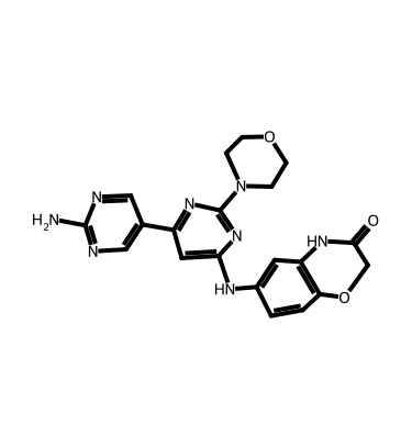 Nc1ncc(-c2cc(Nc3ccc4c(c3)NC(=O)CO4)nc(N3CCOCC3)n2)cn1